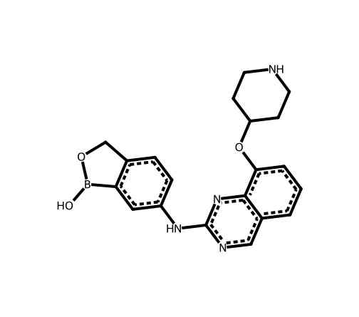 OB1OCc2ccc(Nc3ncc4cccc(OC5CCNCC5)c4n3)cc21